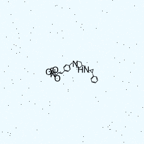 CN(C(=O)/C=C/c1ccc(CN2CCC(CN[C@@H]3C[C@H]3c3ccccc3)CC2)cc1)S(C)(=O)=O